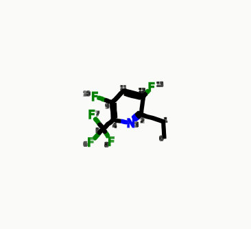 CCc1nc(C(F)(F)F)c(F)cc1F